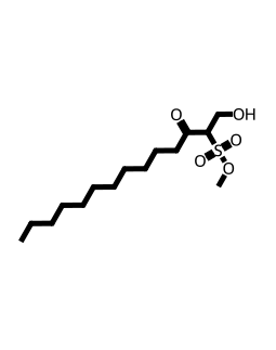 CCCCCCCCCCCC(=O)C(CO)S(=O)(=O)OC